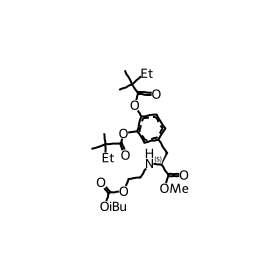 CCC(C)(C)C(=O)Oc1ccc(C[C@H](NCCOC(=O)OCC(C)C)C(=O)OC)cc1OC(=O)C(C)(C)CC